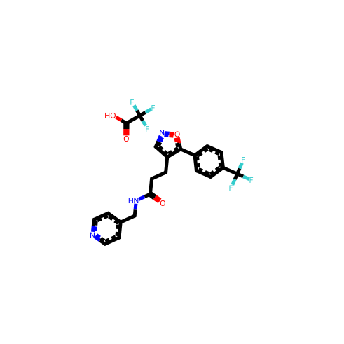 O=C(CCc1cnoc1-c1ccc(C(F)(F)F)cc1)NCc1ccncc1.O=C(O)C(F)(F)F